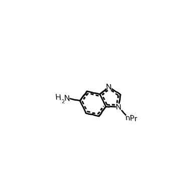 CCCn1cnc2cc(N)ccc21